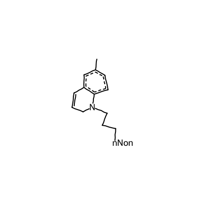 CCCCCCCCCCCCN1CC=Cc2cc(C)ccc21